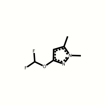 Cc1cc(OC(F)F)nn1C